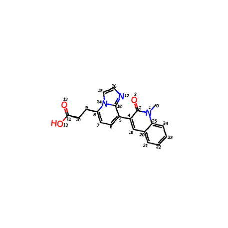 Cn1c(=O)c(-c2ccc(CCC(=O)O)n3ccnc23)cc2ccccc21